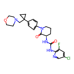 O=C(Nc1ncc(Cl)cc1F)N[C@@H]1CCCN(c2ccc(C3(CN4CCOCC4)CC3)cc2)C1=O